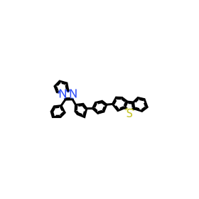 c1ccc(-c2c(-c3cccc(-c4ccc(-c5ccc6c(c5)sc5ccccc56)cc4)c3)nc3ccccn23)cc1